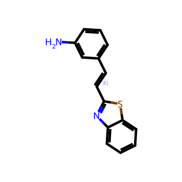 Nc1cccc(/C=C/c2nc3ccccc3s2)c1